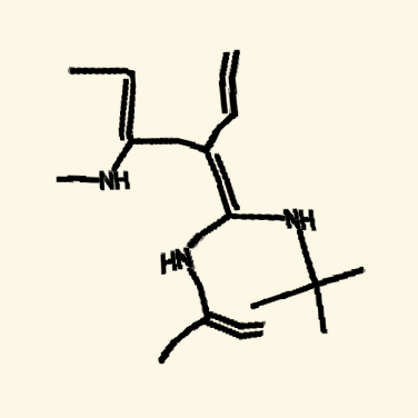 C=C/C(C(=CC)NC)=C(/NC(=C)C)NC(C)(C)C